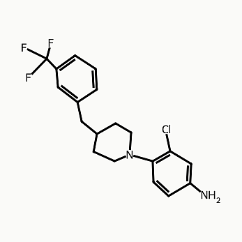 Nc1ccc(N2CCC(Cc3cccc(C(F)(F)F)c3)CC2)c(Cl)c1